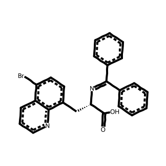 O=C(O)[C@H](Cc1ccc(Br)c2cccnc12)N=C(c1ccccc1)c1ccccc1